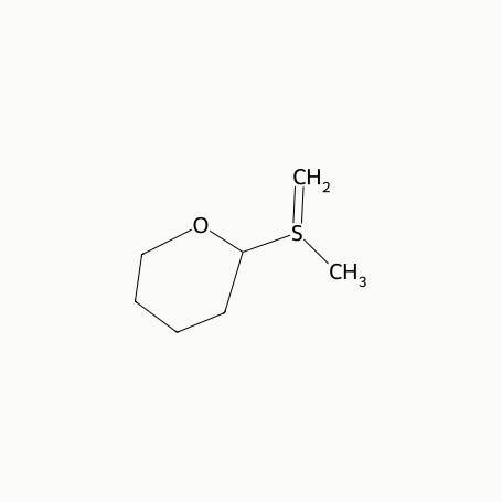 C=S(C)C1CCCCO1